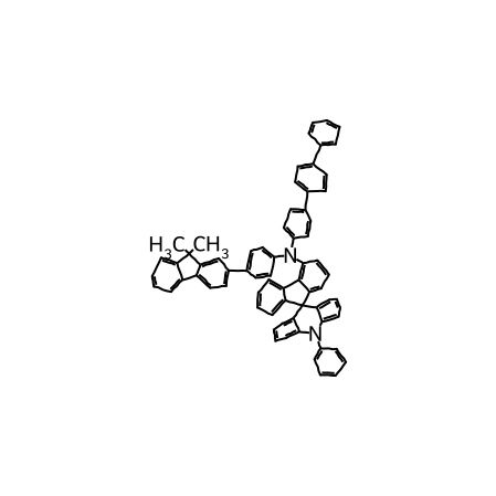 CC1(C)c2ccccc2-c2ccc(-c3ccc(N(c4ccc(-c5ccc(-c6ccccc6)cc5)cc4)c4cccc5c4-c4ccccc4C54c5ccccc5N(c5ccccc5)c5ccccc54)cc3)cc21